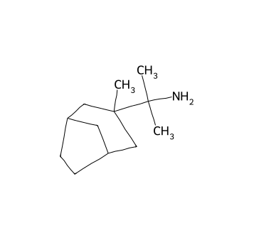 CC(C)(N)C1(C)CC2CCC(C2)C1